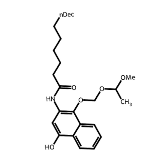 CCCCCCCCCCCCCCCC(=O)Nc1cc(O)c2ccccc2c1OCOC(C)OC